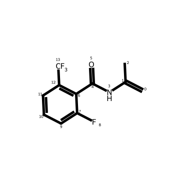 C=C(C)NC(=O)c1c(F)cccc1C(F)(F)F